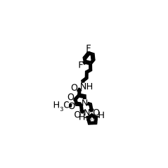 COc1c2n(cc(C(=O)NCCCCc3ccc(F)cc3F)c1=O)CC1O[C@H]3CC[C@H](C3)N1C2=O